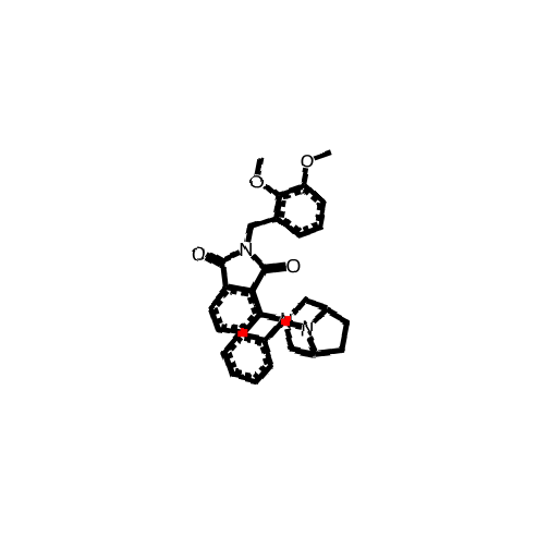 COc1cccc(CN2C(=O)c3cccc(N4CC5CCC(C4)N5Cc4ccccc4)c3C2=O)c1OC